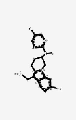 CN(c1ncc(Cl)cn1)C1CCc2c(CC(=O)O)c3ccc(F)cc3n2C1